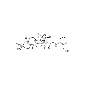 C[C@@]1(O)CC[C@H]2[C@H](CC[C@@H]3[C@@H]2CC[C@@]2(C)[C@H]3[C@@H]3C[C@@H]3[C@@H]2C(=O)CNC2=C(C=N)CCCC2)C1